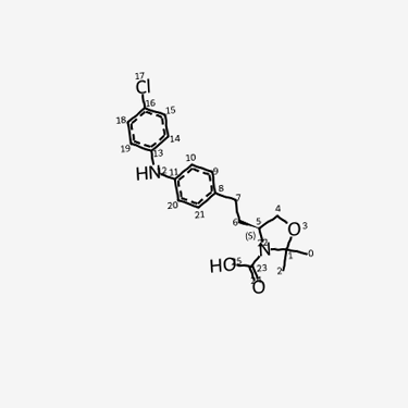 CC1(C)OC[C@H](CCc2ccc(Nc3ccc(Cl)cc3)cc2)N1C(=O)O